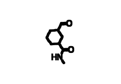 CNC(=O)C1CCCC(C=O)C1